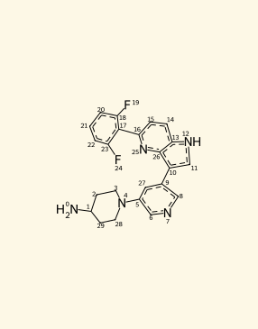 NC1CCN(c2cncc(-c3c[nH]c4ccc(-c5c(F)cccc5F)nc34)c2)CC1